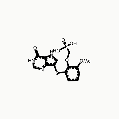 COc1cccc(Sc2c[nH]c3c(=O)[nH]cnc23)c1OCP(=O)(O)O